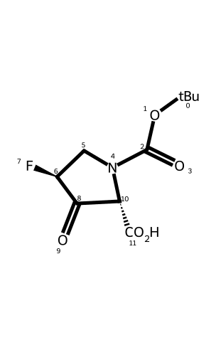 CC(C)(C)OC(=O)N1C[C@H](F)C(=O)[C@H]1C(=O)O